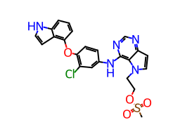 CS(=O)(=O)OCCn1ccc2ncnc(Nc3ccc(Oc4cccc5[nH]ccc45)c(Cl)c3)c21